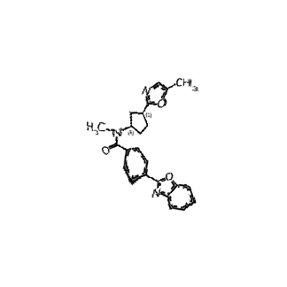 Cc1cnc([C@H]2CC[C@@H](N(C)C(=O)c3ccc(-c4nc5ccccc5o4)cc3)C2)o1